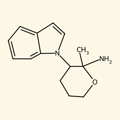 CC1(N)OCCCC1n1ccc2ccccc21